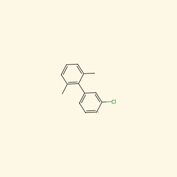 Cc1cccc(C)c1-c1cc[c]c(Cl)c1